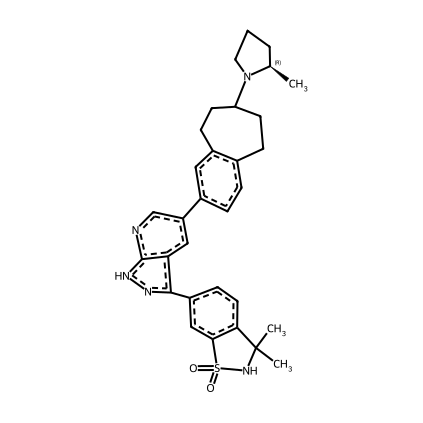 C[C@@H]1CCCN1C1CCc2ccc(-c3cnc4[nH]nc(-c5ccc6c(c5)S(=O)(=O)NC6(C)C)c4c3)cc2CC1